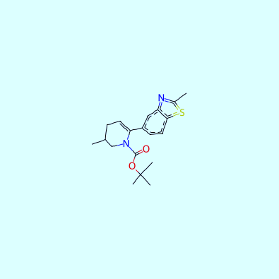 Cc1nc2cc(C3=CCC(C)CN3C(=O)OC(C)(C)C)ccc2s1